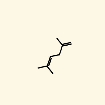 C=C(C)C[C]=C(C)C